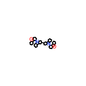 C1=CC2Oc3ccccc3C2C(n2c3ccccc3c3cc(-c4ccc5c(c4)c4ccccc4n5-c4cccc5oc6ccccc6c45)ccc32)=C1